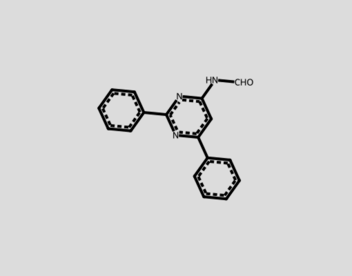 O=CNc1cc(-c2ccccc2)nc(-c2ccccc2)n1